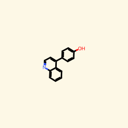 Oc1ccc(-c2ccnc3ccccc23)cc1